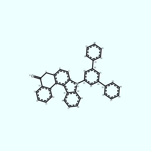 O=C1Cc2ccc3c(c2-c2ccccc21)c1ccccc1n3-c1cc(-c2ccccc2)cc(-c2ccccc2)c1